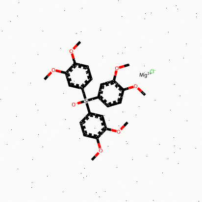 COc1ccc([Si]([O-])(c2ccc(OC)c(OC)c2)c2ccc(OC)c(OC)c2)cc1OC.[Cl-].[Mg+2]